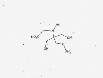 CC(=O)N(CC(=O)O)C(CO)(CO)COP